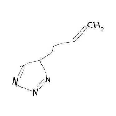 C=CCC1[C]=NN=N1